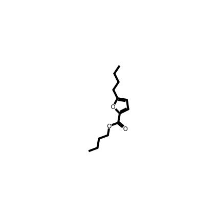 CCCCOC(=O)c1ccc(CCCC)o1